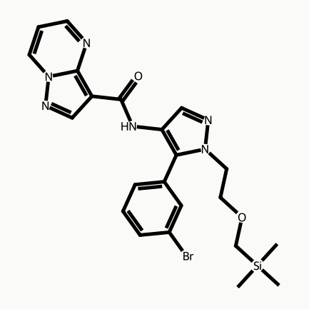 C[Si](C)(C)COCCn1ncc(NC(=O)c2cnn3cccnc23)c1-c1cccc(Br)c1